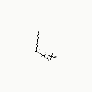 CCCCCCCCC[N+](C)(C)CCOC(=O)CC(C)OS(=O)(=O)O